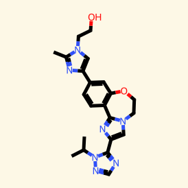 Cc1nc(-c2ccc3c(c2)OCCn2cc(-c4ncnn4C(C)C)nc2-3)cn1CCO